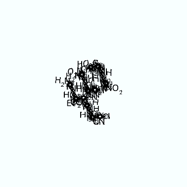 CCc1nc(NCCNc2ccc(N)cn2)nc(-c2ccc(C#N)cc2)c1C(=O)O.N#Cc1cnc(NCCNc2ccc([N+](=O)[O-])c(N)n2)nc1-c1ccc(Cl)cc1Cl.N#Cc1cnc(NCCNc2ccc([N+](=O)[O-])cn2)nc1-c1ccc(Cl)cc1Cl.Nc1nc(NCCNc2ncc(C(=O)O)c(-c3ccc(Cl)cc3Cl)n2)ccc1[N+](=O)[O-]